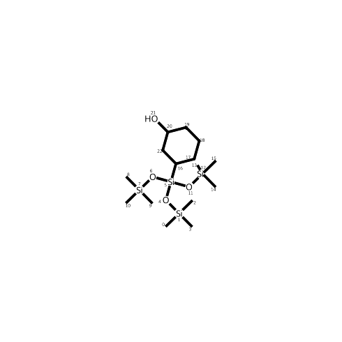 C[Si](C)(C)O[Si](O[Si](C)(C)C)(O[Si](C)(C)C)C1CC[CH]C(O)C1